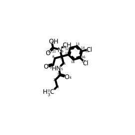 CCCC(=O)NCC(CC=O)(c1ccc(Cl)c(Cl)c1)N(C)C(=O)O